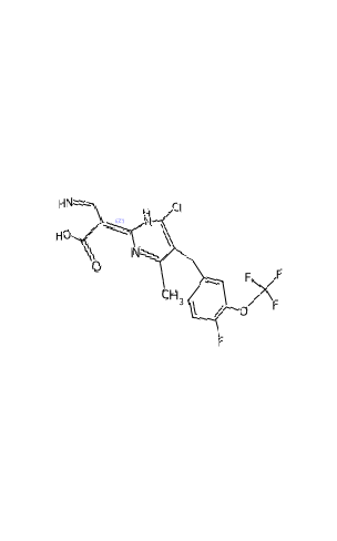 CC1=N/C(=C(/C=N)C(=O)O)NC(Cl)=C1Cc1ccc(F)c(OC(F)(F)F)c1